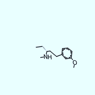 CC[C@H](CCc1cccc(OC)c1)NC